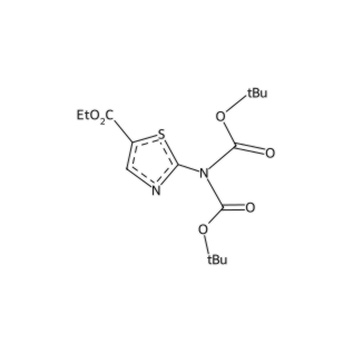 CCOC(=O)c1cnc(N(C(=O)OC(C)(C)C)C(=O)OC(C)(C)C)s1